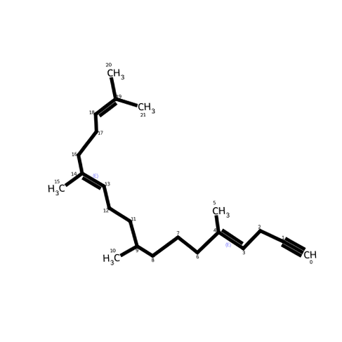 C#CC/C=C(\C)CCCC(C)CC/C=C(\C)CCC=C(C)C